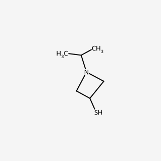 CC(C)N1CC(S)C1